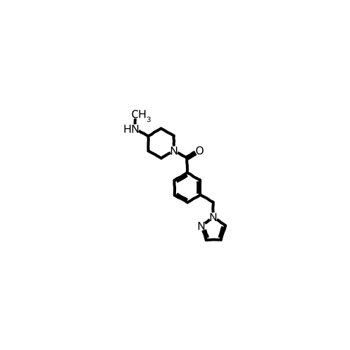 CNC1CCN(C(=O)c2cccc(Cn3cccn3)c2)CC1